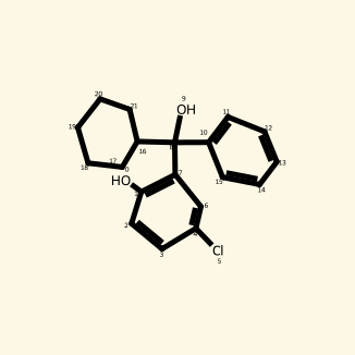 Oc1ccc(Cl)cc1C(O)(c1ccccc1)C1CCCCC1